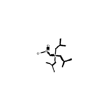 CC(C)CP(=C[N+](=O)[O-])(CC(C)C)CC(C)C